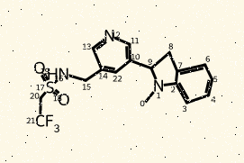 CN1c2ccccc2CC1c1cncc(CNS(=O)(=O)CC(F)(F)F)c1